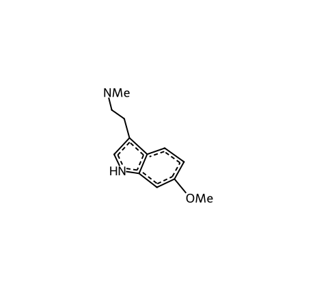 CNCCc1c[nH]c2cc(OC)ccc12